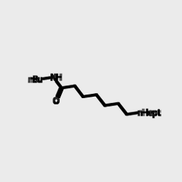 [CH2]CCCNC(=O)CCCCCCCCCCCCC